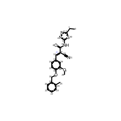 CCc1nnc(NC(=O)/C(C#N)=C/c2ccc(OCc3ccccc3C)c(OC)c2)s1